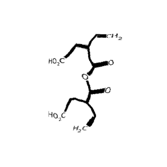 C=CC(CC(=O)O)C(=O)OC(=O)C(C=C)CC(=O)O